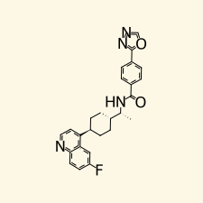 C[C@@H](NC(=O)c1ccc(-c2nnco2)cc1)[C@H]1CC[C@H](c2ccnc3ccc(F)cc32)CC1